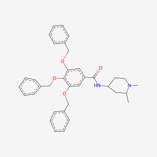 CC1CC(NC(=O)c2cc(OCc3ccccc3)c(OCc3ccccc3)c(OCc3ccccc3)c2)CCN1C